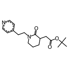 CC(C)(C)OC(=O)CC1CCCN(CCc2ccncc2)C1=O